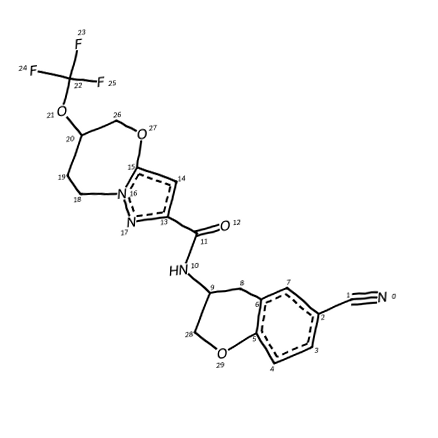 N#Cc1ccc2c(c1)CC(NC(=O)c1cc3n(n1)CCC(OC(F)(F)F)CO3)CO2